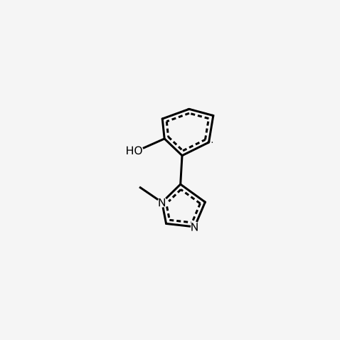 Cn1cncc1-c1[c]cccc1O